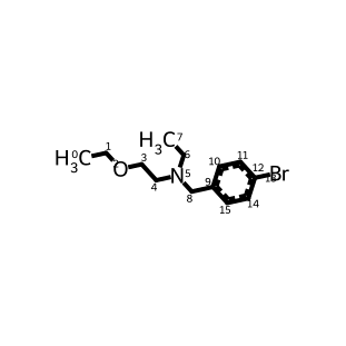 CCOCCN(CC)Cc1ccc(Br)cc1